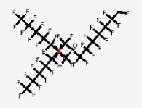 O=P(C(F)(F)C(F)(F)C(F)(F)C(F)(F)C(F)(F)C(F)(F)CF)(C(F)(F)C(F)(F)C(F)(F)C(F)(F)C(F)(F)C(F)(F)C(F)(F)F)C(F)(F)C(F)(F)C(F)(F)C(F)(F)C(F)(F)C(F)(F)C(F)(F)F